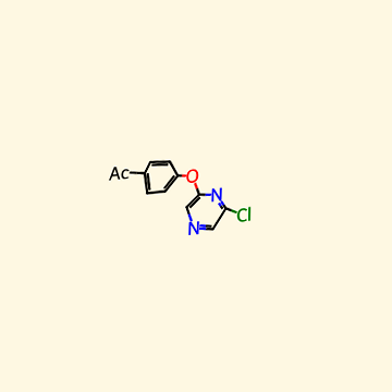 CC(=O)c1ccc(Oc2cncc(Cl)n2)cc1